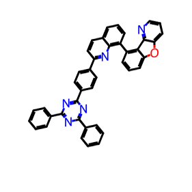 c1ccc(-c2nc(-c3ccccc3)nc(-c3ccc(-c4ccc5cccc(-c6cccc7oc8cccnc8c67)c5n4)cc3)n2)cc1